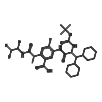 CC(C(=O)NC(F)C(F)F)c1cc(F)c(NC(=O)C(NC(=O)OC(C)(C)C)C(C2CCCCC2)C2CCCCC2)cc1C(=O)O